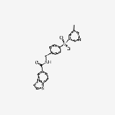 Cc1cncc(S(=O)(=O)c2ccc(CNC(=O)c3ccc4nccn4c3)cc2)c1